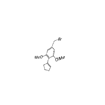 COc1cc(CBr)cc(OC)c1C1=CCCC1